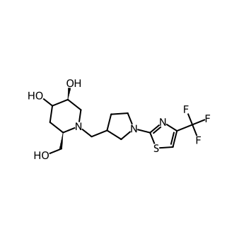 OC[C@H]1CC(O)[C@@H](O)CN1CC1CCN(c2nc(C(F)(F)F)cs2)C1